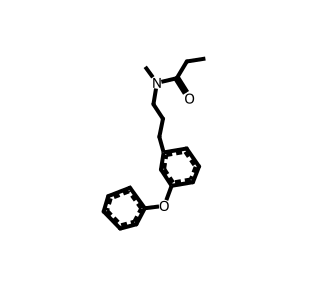 CCC(=O)N(C)CCCc1cccc(Oc2ccccc2)c1